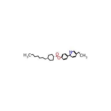 CCCCCCC[C@H]1CC[C@H](C(=O)Oc2ccc(-c3ccc(CC)cn3)cc2)CC1